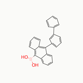 OB(O)c1c2ccccc2c(-c2cccc(-c3ccccc3)c2)c2ccccc12